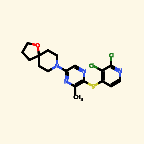 Cc1nc(N2CCC3(CCCO3)CC2)cnc1Sc1ccnc(Cl)c1Cl